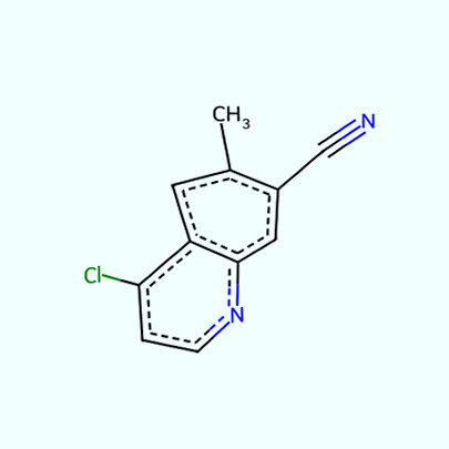 Cc1cc2c(Cl)ccnc2cc1C#N